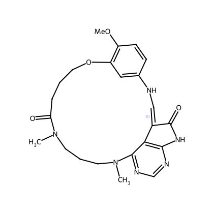 COc1ccc2cc1OCCCC(=O)N(C)CCCN(C)c1ncnc3c1/C(=C\N2)C(=O)N3